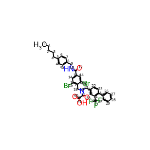 CCCCCc1ccc(CNC(=O)c2cc(Br)c(CN(Cc3ccc(-c4ccccc4)c(C(F)(F)F)c3)C(=O)C(=O)O)c(Br)c2)cc1